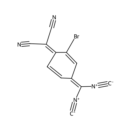 [C-]#[N+]C([N+]#[C-])=c1ccc(=C(C#N)C#N)c(Br)c1